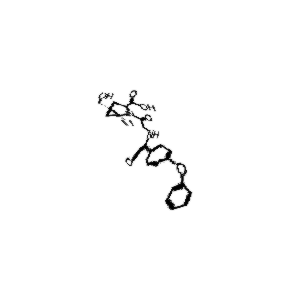 O=C(NCC(=O)N1[C@H]2C[C@@]2(CO)C[C@H]1C(=O)O)c1ccc(Oc2ccccc2)cc1